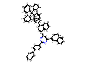 c1ccc(-c2ccc(-c3nc(-c4ccc5ccccc5c4)cc(-c4ccc(-c5cccc(-c6cccc7c6C(c6ccccc6)(c6ccccc6)c6ccccc6-7)c5)c5ccccc45)n3)cc2)cc1